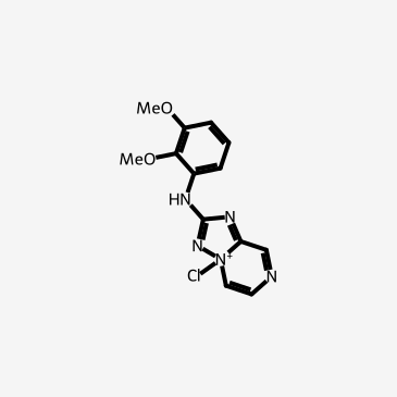 COc1cccc(NC2=N[N+]3(Cl)C=CN=CC3=N2)c1OC